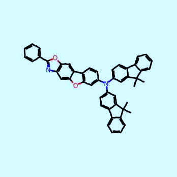 CC1(C)c2ccccc2-c2ccc(N(c3ccc4c(c3)C(C)(C)c3ccccc3-4)c3ccc4c(c3)oc3cc5nc(-c6ccccc6)oc5cc34)cc21